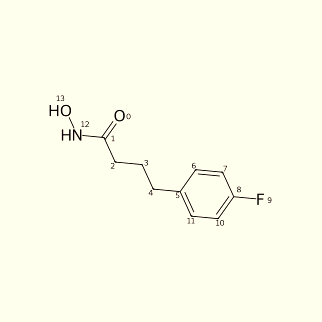 O=C(CCCc1ccc(F)cc1)NO